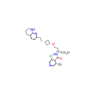 CCc1cncc(Cl)c1C(=O)N[C@@H](CCO[C@H]1C[C@@H](CCc2ccc3c(n2)NCCC3)C1)C(=O)O